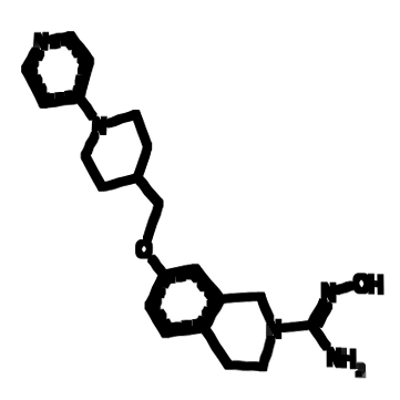 NC(=NO)N1CCc2ccc(OCC3CCN(c4ccncc4)CC3)cc2C1